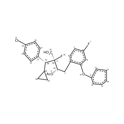 CC(=O)O[C@@H](Cc1ccc(F)cc1Oc1ccccc1)[C@@](F)(C(=O)O)[C@@H](c1ccc(Cl)cc1)C1CC1